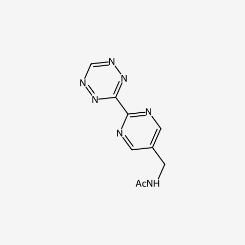 CC(=O)NCc1cnc(-c2nncnn2)nc1